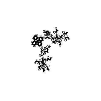 C=CC(=O)OCC(COC(=O)C=C)(COC(=O)C=C)OC(COC(=O)C=C)(COC(=O)C=C)COC(=O)OCC(COc1ccc(C2(c3ccc(OCC(COC(=O)OCC(COC(=O)C=C)(COC(=O)C=C)OC(COC(=O)C=C)(COC(=O)C=C)COC(=O)C=C)OC(=O)/C=C\C(=O)O)cc3)c3ccccc3-c3ccccc32)cc1)OC(=O)/C=C\C(=O)O